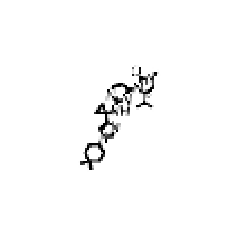 CC(C)[C@H]1CN(C)C(=O)N1c1ccnc(NC2(c3cn(C4CCC(C)(C)CC4)cn3)CC2)n1